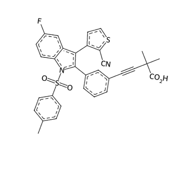 Cc1ccc(S(=O)(=O)n2c(-c3cccc(C#CC(C)(C)C(=O)O)c3)c(-c3ccsc3C#N)c3cc(F)ccc32)cc1